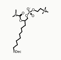 CCCCCCCCCCCCCCCCCCC(COP(=O)([O-])OCC[N+](C)(C)C)OC(=O)N(C)C